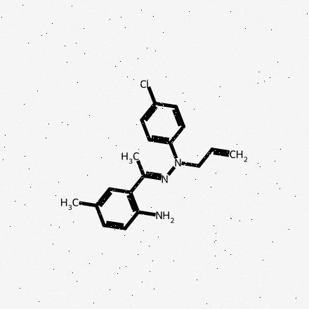 C=CCN(/N=C(\C)c1cc(C)ccc1N)c1ccc(Cl)cc1